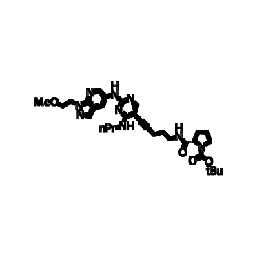 CCCNc1nc(Nc2cnc3c(cnn3CCOC)c2)ncc1C#CCCCNC(=O)[C@@H]1CCCN1C(=O)OC(C)(C)C